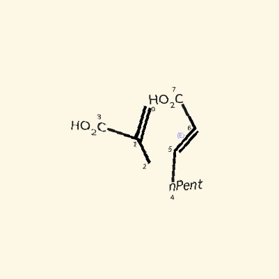 C=C(C)C(=O)O.CCCCC/C=C/C(=O)O